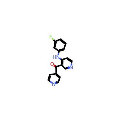 O=C(c1ccncc1)c1cnccc1Nc1cccc(F)c1